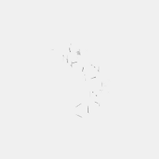 CC(C)C[C@H](NC(=O)[C@H]1CCC[C@@H]1NC(=O)c1ccccc1)C(=O)c1nn(CC(C)C)c(=O)o1